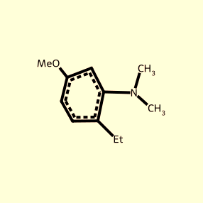 CCc1ccc(OC)cc1N(C)C